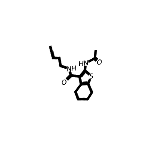 CCCCNC(=O)c1c(NC(C)=O)sc2c1CCCC2